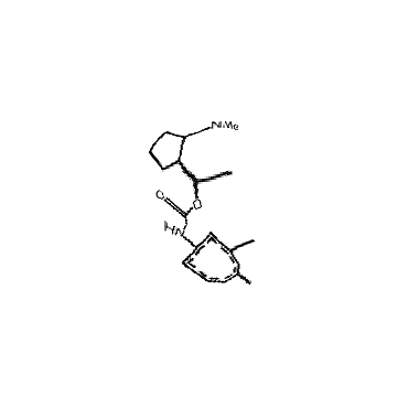 CNC1CCCC1C(C)OC(=O)Nc1ccc(C)c(C)c1